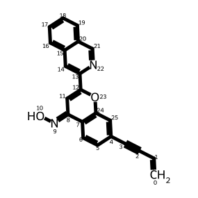 C=CC#Cc1ccc2c(=NO)cc(-c3cc4ccccc4cn3)oc2c1